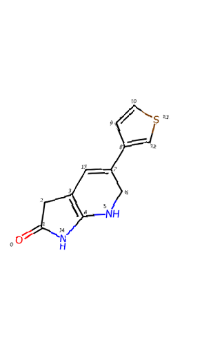 O=C1CC2=C(NCC(c3ccsc3)=C2)N1